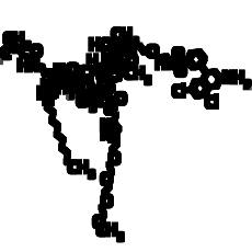 CCCCCCCCCCn1cc(COC(=O)C(C)(C)CC(C)(CC(C)(CC(C)(CC(C)(CC)C(=O)NCC(C)O)C(=O)OCc2cn(CCOCCNS(=O)(=O)c3cccc(C4CC(N)Cc5c(Cl)cc(Cl)cc54)c3)nn2)C(=O)OCc2cn(CCOCCOCCOCCOC)nn2)C(=O)OCc2cn(CCNC(=O)CCN(C)C)nn2)nn1